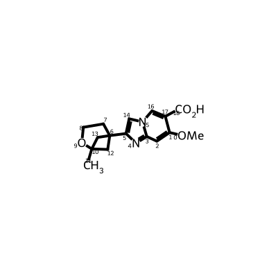 COc1cc2nc(C34CCOC(C)(C3)C4)cn2cc1C(=O)O